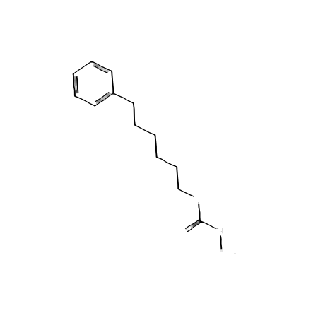 [CH2]CCCCNC(=O)OCCCCCCc1ccccc1